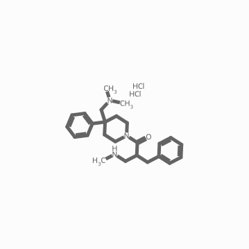 CNCC(Cc1ccccc1)C(=O)N1CCC(CN(C)C)(c2ccccc2)CC1.Cl.Cl